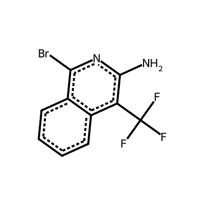 Nc1nc(Br)c2ccccc2c1C(F)(F)F